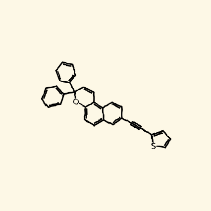 C(#Cc1cccs1)c1ccc2c3c(ccc2c1)OC(c1ccccc1)(c1ccccc1)C=C3